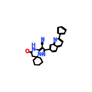 N#Cc1c(-c2ccc3ccc(-c4ccccc4)nc3c2)nn2c1NC(=O)CC21CCCCC1